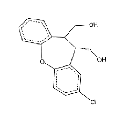 OCC1c2ccccc2Oc2ccc(Cl)cc2[C@H]1CO